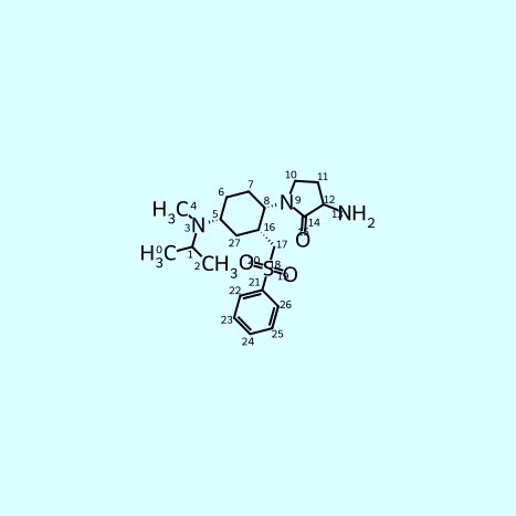 CC(C)N(C)[C@@H]1CC[C@H](N2CCC(N)C2=O)[C@H](CS(=O)(=O)c2ccccc2)C1